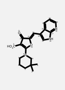 CC1(C)CCCN(C2=C(C(=O)O)C(=O)C(=Cc3c[nH]c4ncccc34)O2)C1